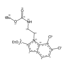 CCOC(=O)c1cc2ccc(Cl)c(Cl)c2n1CCNC(=O)OC(C)(C)C